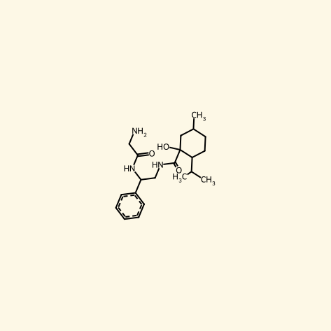 CC1CCC(C(C)C)C(O)(C(=O)NCC(NC(=O)CN)c2ccccc2)C1